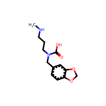 CNCCCN(Cc1ccc2c(c1)OCO2)C(=O)O